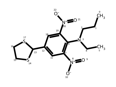 CCCN(CC)c1c([N+](=O)[O-])cc(C2SCCS2)cc1[N+](=O)[O-]